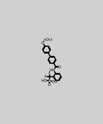 CCCCCCCCOc1ccc(-c2ccc(C(=O)Nc3ccccc3C(F)(F)P(=O)(O)O)cc2)cc1